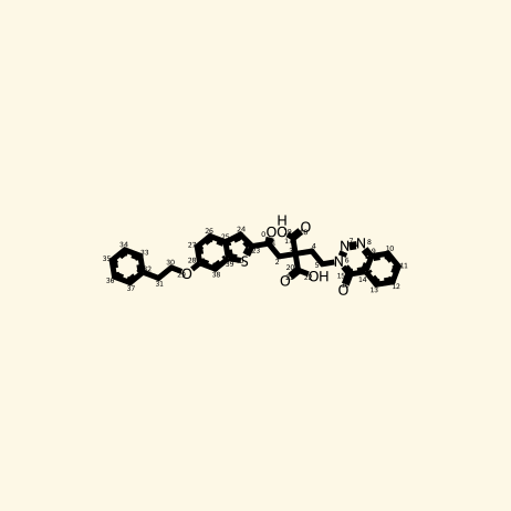 O=C(CC(CCn1nnc2ccccc2c1=O)(C(=O)O)C(=O)O)c1cc2ccc(OCCc3ccccc3)cc2s1